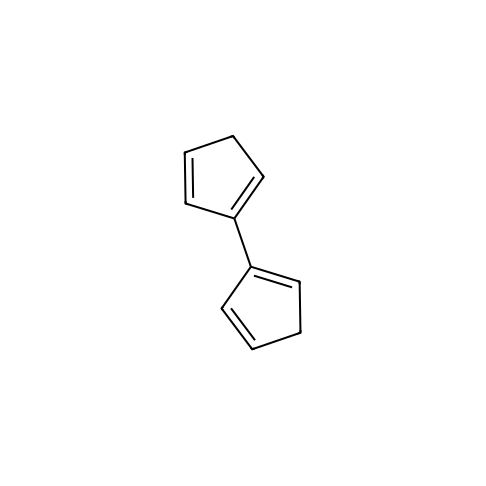 C1=CC(C2=CCC=C2)=CC1